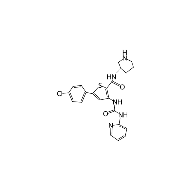 O=C(Nc1ccccn1)Nc1cc(-c2ccc(Cl)cc2)sc1C(=O)N[C@H]1CCCNC1